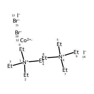 CC[N+](CC)(CC)CC.CC[N+](CC)(CC)CC.[Br-].[Br-].[Co+2].[I-].[I-]